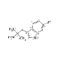 CC(C)(N)Cc1c[nH]c2cc(F)ccc12